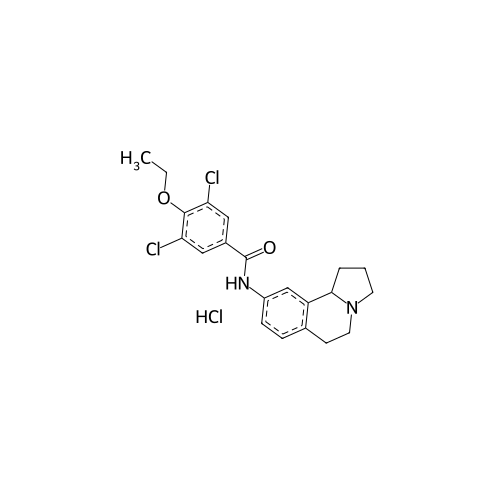 CCOc1c(Cl)cc(C(=O)Nc2ccc3c(c2)C2CCCN2CC3)cc1Cl.Cl